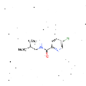 COC(CNC(=O)c1ccc(Cl)cn1)OC